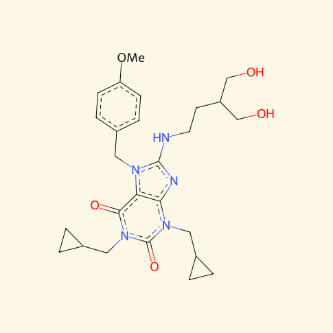 COc1ccc(Cn2c(NCCC(CO)CO)nc3c2c(=O)n(CC2CC2)c(=O)n3CC2CC2)cc1